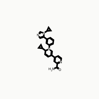 NC(=O)c1cc(C2=CN(c3cccc(-c4cncn4C4CC4)c3)C(C3CC3)C=C2)ccn1